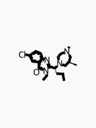 CCC[C@H](c1nc2ccc(Cl)cc2c(=O)n1CC)N1CCN(C)C[C@@H](C)C1